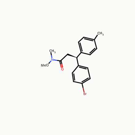 CON(C)C(=O)C[C@@H](c1ccc(C)cc1)c1ccc(Br)cc1